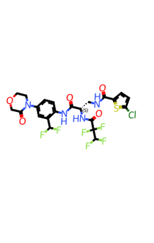 O=C(NC[C@H](NC(=O)C(F)(F)C(F)F)C(=O)Nc1ccc(N2CCOCC2=O)cc1C(F)F)c1ccc(Cl)s1